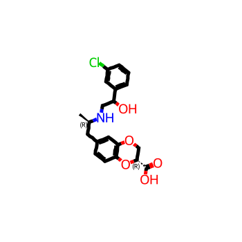 C[C@H](Cc1ccc2c(c1)OC[C@H](C(=O)O)O2)NCC(O)c1cccc(Cl)c1